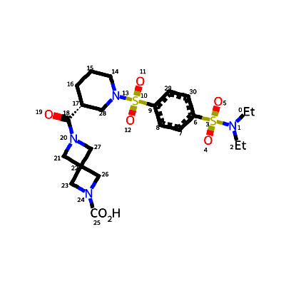 CCN(CC)S(=O)(=O)c1ccc(S(=O)(=O)N2CCC[C@@H](C(=O)N3CC4(CN(C(=O)O)C4)C3)C2)cc1